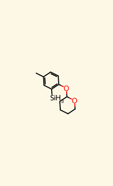 Cc1ccc(OC2CCCCO2)c([SiH3])c1